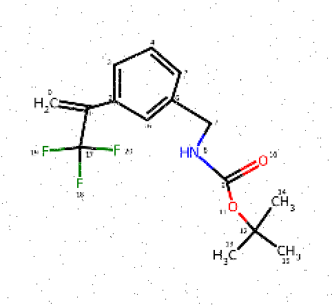 C=C(c1cccc(CNC(=O)OC(C)(C)C)c1)C(F)(F)F